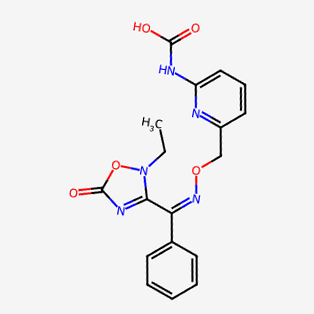 CCn1oc(=O)nc1C(=NOCc1cccc(NC(=O)O)n1)c1ccccc1